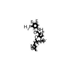 Cc1cc(CC2(C)COc3c(cn(C)c3C(=O)Nc3cc(F)c(F)c(P)c3)[S+]([O-])N2)no1